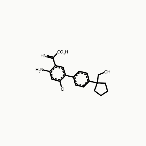 N=C(C(=O)O)c1cc(-c2ccc(C3(CO)CCCC3)cc2)c(Cl)cc1N